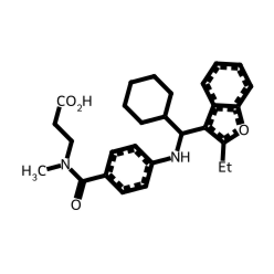 CCc1oc2ccccc2c1C(Nc1ccc(C(=O)N(C)CCC(=O)O)cc1)C1CCCCC1